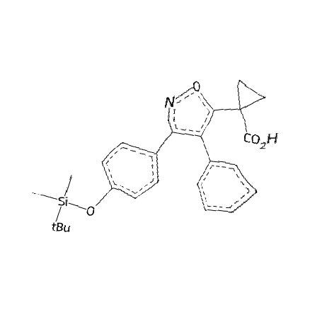 CC(C)(C)[Si](C)(C)Oc1ccc(-c2noc(C3(C(=O)O)CC3)c2-c2ccccc2)cc1